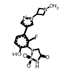 CN1CC(n2cc(-c3ccc(O)c(N4CC(=O)NS4(=O)=O)c3F)cn2)C1